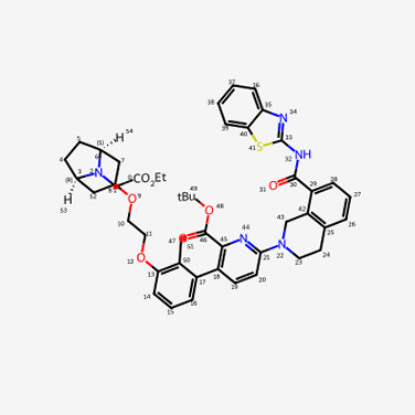 CCOC(=O)CN1[C@@H]2CC[C@H]1CC(OCCOc1cccc(-c3ccc(N4CCc5cccc(C(=O)Nc6nc7ccccc7s6)c5C4)nc3C(=O)OC(C)(C)C)c1C)C2